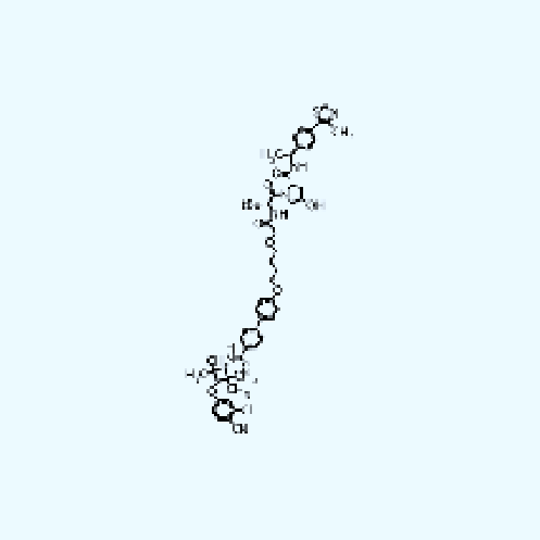 Cc1ncsc1-c1ccc([C@H](C)NC(=O)[C@@H]2C[C@@H](O)CN2C(=O)[C@@H](NC(=O)COCCCCOc2ccc(-c3ccc(C(=O)N[C@H]4C(C)(C)[C@H](Oc5ccc(C#N)c(Cl)c5)C4(C)C)cc3)cc2)C(C)(C)C)cc1